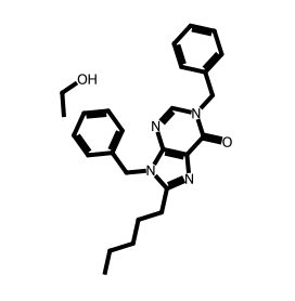 CCCCCc1nc2c(=O)n(Cc3ccccc3)cnc2n1Cc1ccccc1.CCO